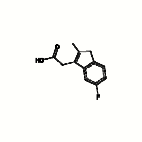 CC1=C(CC(=O)O)c2cc(F)ccc2C1